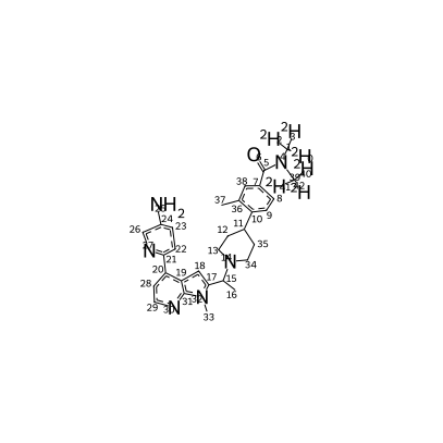 [2H]C([2H])([2H])N(C(=O)c1ccc(C2CCN(C(C)c3cc4c(-c5ccc(N)cn5)ccnc4n3C)CC2)c(C)c1)C([2H])([2H])[2H]